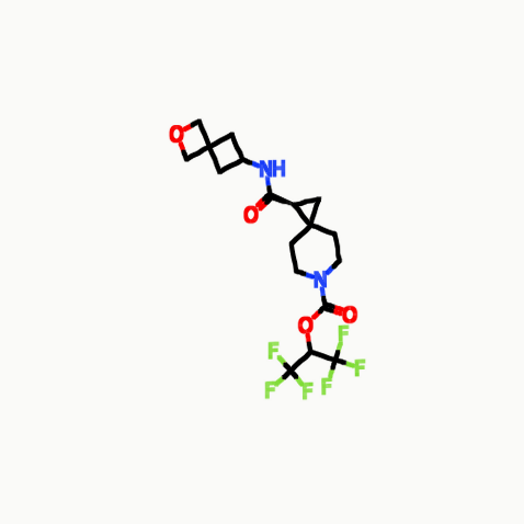 O=C(NC1CC2(COC2)C1)[C@H]1CC12CCN(C(=O)OC(C(F)(F)F)C(F)(F)F)CC2